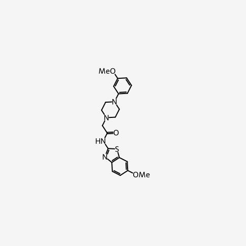 COc1cccc(N2CCN(CC(=O)Nc3nc4ccc(OC)cc4s3)CC2)c1